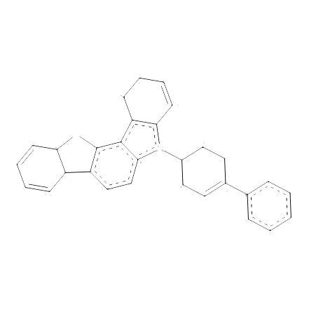 C1=CC2Sc3c(ccc4c3c3c(n4C4CC=C(c5ccccc5)CC4)C=CCC3)C2C=C1